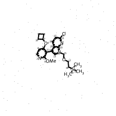 COc1nccc(OC2CCC2)c1-c1cn(COCC[Si](C)(C)C)c2nc(Cl)ccc12